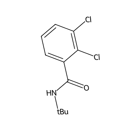 CC(C)(C)NC(=O)c1cccc(Cl)c1Cl